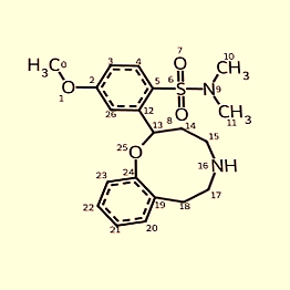 COc1ccc(S(=O)(=O)N(C)C)c(C2CCNCCc3ccccc3O2)c1